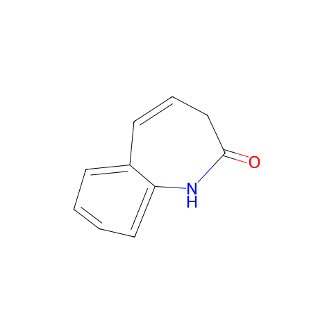 O=C1CC=Cc2ccccc2N1